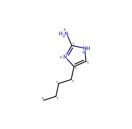 CCCCc1c[nH]c(N)n1